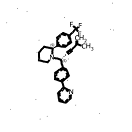 C=C(C)C#C[C@H](c1ccc(-c2ccccn2)cc1)N1CC[CH]C[C@H]1c1ccc(C(F)(F)F)cc1